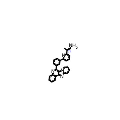 C/C(=C\N)c1cccc(-c2cccc(-c3nc4ccccc4c4nc5ccccn5c34)c2)n1